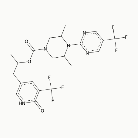 CC(Cc1c[nH]c(=O)c(C(F)(F)F)c1)OC(=O)N1CC(C)N(c2ncc(C(F)(F)F)cn2)C(C)C1